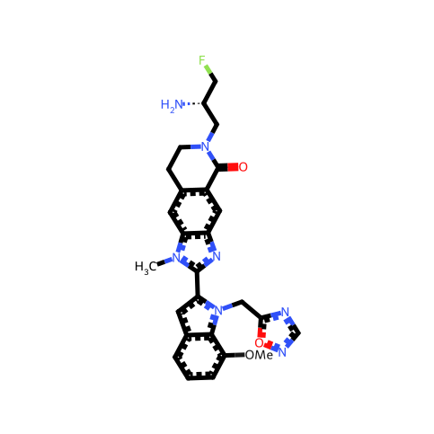 COc1cccc2cc(-c3nc4cc5c(cc4n3C)CCN(C[C@H](N)CF)C5=O)n(Cc3ncno3)c12